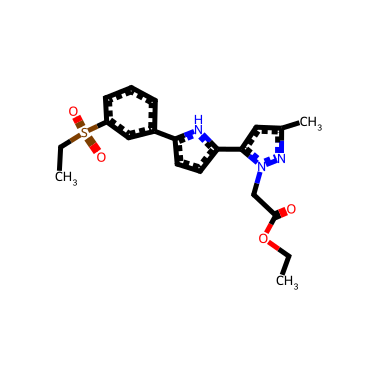 CCOC(=O)Cn1nc(C)cc1-c1ccc(-c2cccc(S(=O)(=O)CC)c2)[nH]1